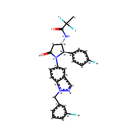 CC(F)(F)C(=O)N[C@H]1CC(=O)N(c2ccc3c(cnn3Cc3cccc(F)c3)c2)[C@@H]1c1ccc(F)cc1